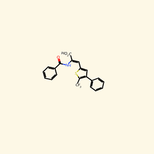 O=C(O)/C(=C/c1cc(-c2ccccc2)c(C(F)(F)F)s1)NC(=O)c1ccccc1